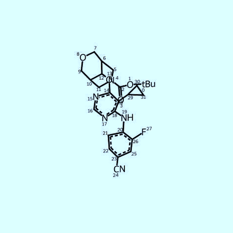 CC(C)(C)OC(=O)N1CC2COCC(C1)C2Oc1ncnc(Nc2ccc(C#N)cc2F)c1C1CC1